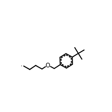 [CH2]CCCOCc1ccc(C(C)(C)C)cc1